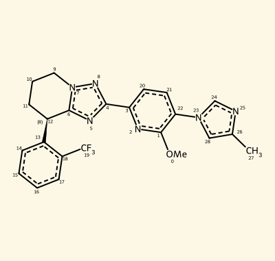 COc1nc(-c2nc3n(n2)CCC[C@@H]3c2ccccc2C(F)(F)F)ccc1-n1cnc(C)c1